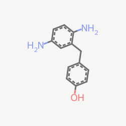 Nc1ccc(N)c(Cc2ccc(O)cc2)c1